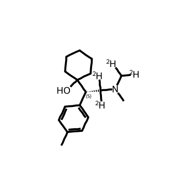 [2H]C([2H])N(C)C([2H])([2H])[C@H](c1ccc(C)cc1)C1(O)CCCCC1